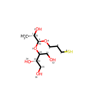 C[C@H](O)[C@@H](OCCCS)OC(CO)[C@@H](O)CO